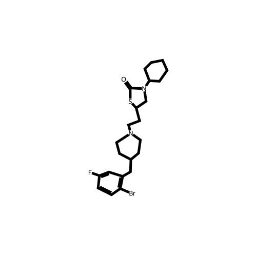 O=C1SC(CCN2CCC(Cc3cc(F)ccc3Br)CC2)CN1C1CCCCC1